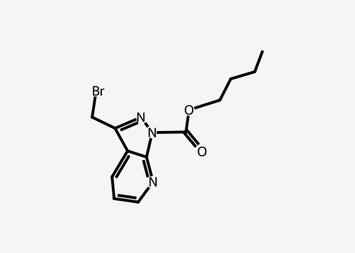 CCCCOC(=O)n1nc(CBr)c2cccnc21